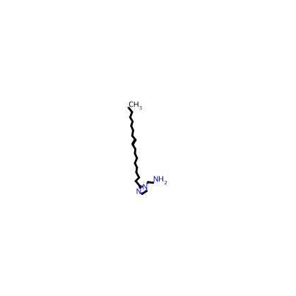 CCCCCCCCC=CCCCCCCCCC1=NCCN1CCN